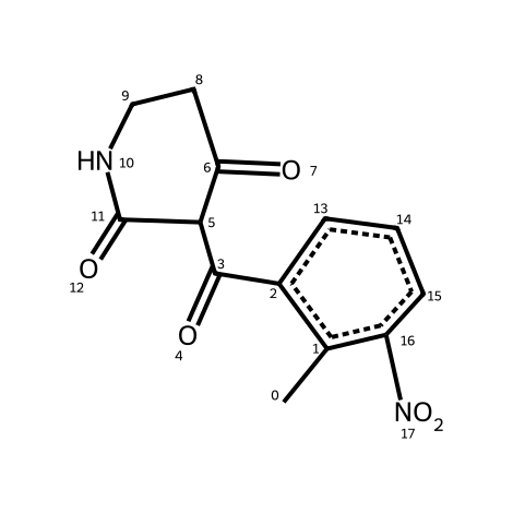 Cc1c(C(=O)C2C(=O)CCNC2=O)cccc1[N+](=O)[O-]